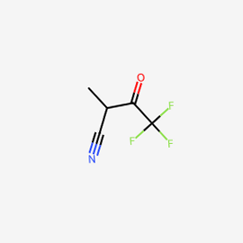 CC(C#N)C(=O)C(F)(F)F